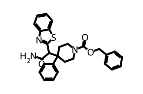 NC(=O)C(c1nc2ccccc2s1)C1(c2ccccc2)CCN(C(=O)OCc2ccccc2)CC1